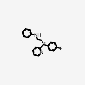 Fc1ccc([C@@H](CCNc2ccccc2)c2ccccn2)cc1